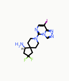 N[C@@H]1CC(F)(F)CC12CCN(c1ncc(I)c3nncn13)CC2